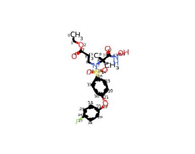 CCOC(=O)CCN(C(C)(C)C(=O)NO)S(=O)(=O)c1ccc(Oc2ccc(F)cc2)cc1